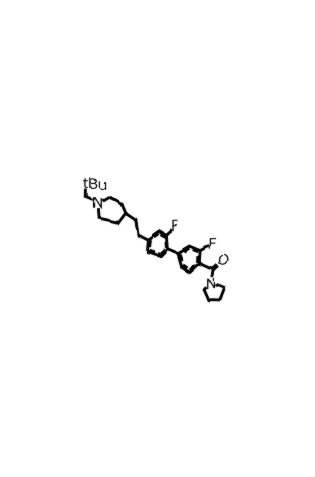 CC(C)(C)CN1CCC(CCc2ccc(-c3ccc(C(=O)N4CCCC4)c(F)c3)c(F)c2)CC1